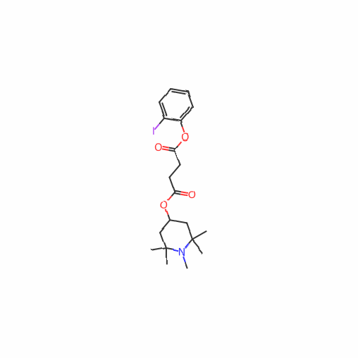 CN1C(C)(C)CC(OC(=O)CCC(=O)Oc2ccccc2I)CC1(C)C